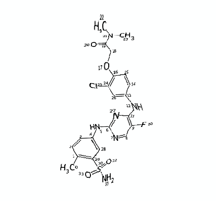 Cc1ccc(Nc2ncc(F)c(Nc3ccc(OCC(=O)N(C)C)c(Cl)c3)n2)cc1S(N)(=O)=O